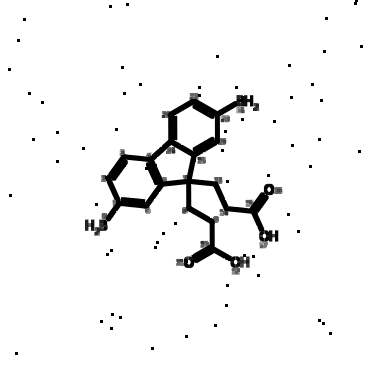 Bc1ccc2c(c1)C(CCC(=O)O)(CCC(=O)O)c1cc(B)ccc1-2